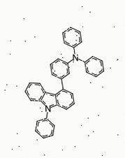 c1ccc(N(c2ccccc2)c2cccc(-c3cccc4c3c3ccccc3n4-c3ccccc3)c2)cc1